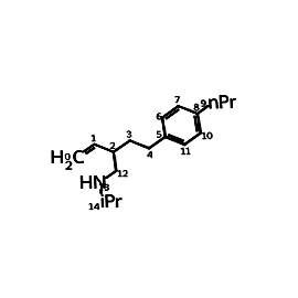 C=CC(CCc1ccc(CCC)cc1)CNC(C)C